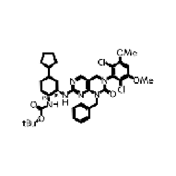 COc1cc(OC)c(Cl)c(N2Cc3cnc(N[C@@H]4CC(C5CCCC5)CC[C@@H]4NC(=O)OC(C)(C)C)nc3N(Cc3ccccc3)C2=O)c1Cl